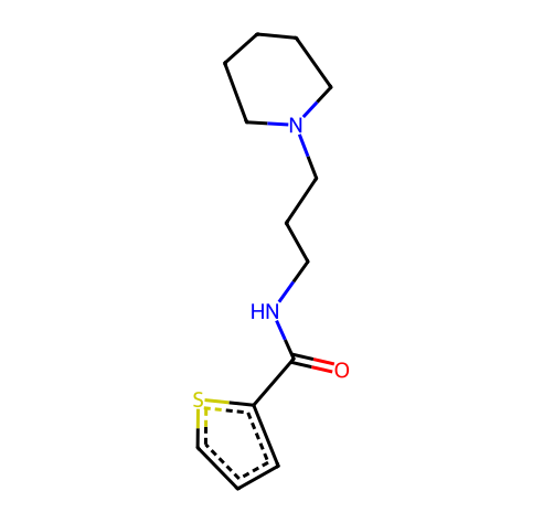 O=C(NCCCN1CCCCC1)c1cccs1